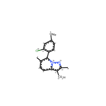 COc1ccc(-c2c(C)ccc3c(C(=O)O)c(C)nn23)c(Cl)c1